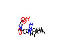 CC(C)(C)[C@H]1CC[C@H](Nc2cc3cc(C(=O)N4CCC(CC(=O)O)CC4)ccc3cn2)CC1